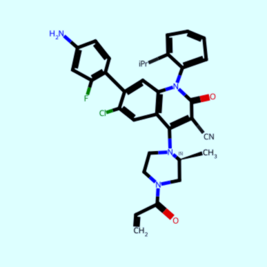 C=CC(=O)N1CCN(c2c(C#N)c(=O)n(-c3ccccc3C(C)C)c3cc(-c4ccc(N)cc4F)c(Cl)cc23)[C@@H](C)C1